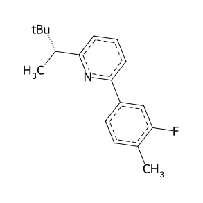 Cc1ccc(-c2cccc([C@H](C)C(C)(C)C)n2)cc1F